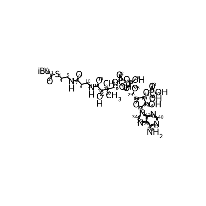 CC[C@H](C)C(=O)SCCNC(=O)CCNC(=O)C(O)C(C)(C)COP(=O)(O)OP(=O)(O)OC[C@H]1O[C@@H](n2cnc3c(N)ncnc32)[C@H](O)[C@@H]1OP(=O)(O)O